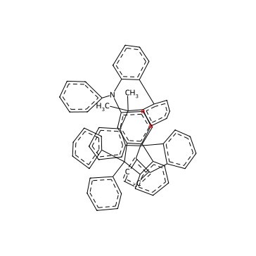 CC1(C)c2ccccc2C2(c3ccccc3-c3ccccc32)c2cccc(-c3ccccc3N(c3ccccc3)c3ccc4c(c3)C(c3ccccc3)(c3ccccc3)c3ccccc3-4)c21